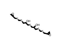 OC(CSCSCC1CO1)CSCC(O)CSCSCC1CO1